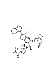 C=C(F)C(=O)N1CC[C@@H]2[C@H]1CN2c1c(C#N)c(OC[C@@]23CCCN2C[C@H](F)C3)nc2c(F)c(-c3cccc4c3CCCC4)ccc12